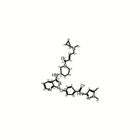 Cc1cc(NC(=O)c2ccc(On3nc(N[C@@H]4CCCN(C(=O)C=CCN(C)C5CC5)C4)c4cccnc43)cc2)nn1C